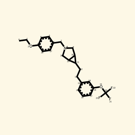 CCOc1ccc(CN2CC3C(C[CH]c4cccc(OC(F)(F)F)c4)C3C2)cc1